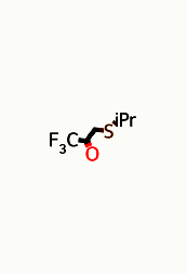 CC(C)SCC(=O)C(F)(F)F